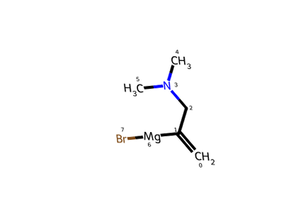 C=[C](CN(C)C)[Mg][Br]